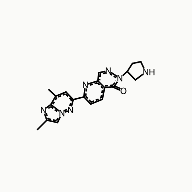 Cc1cn2nc(-c3ccc4c(=O)n(C5CCNC5)ncc4n3)cc(C)c2n1